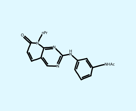 CCCn1c(=O)ccc2cnc(Nc3cccc(NC(C)=O)c3)nc21